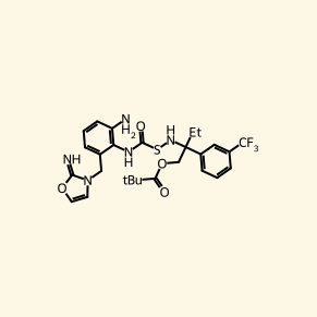 CCC(COC(=O)C(C)(C)C)(NSC(=O)Nc1c(N)cccc1Cn1ccoc1=N)c1cccc(C(F)(F)F)c1